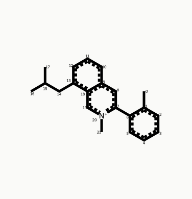 Cc1ccccc1-c1cc2cccc(CC(C)C)c2c[n+]1C